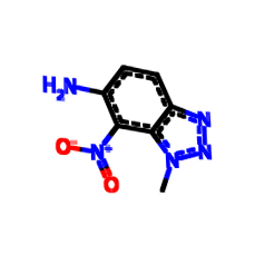 Cn1nnc2ccc(N)c([N+](=O)[O-])c21